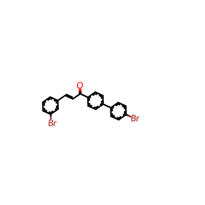 O=C(/C=C/c1cccc(Br)c1)c1ccc(-c2ccc(Br)cc2)cc1